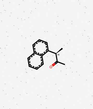 CC(=O)[C@H](C)c1cccc2ccccc12